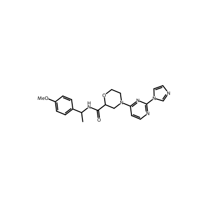 COc1ccc(C(C)NC(=O)C2CN(c3ccnc(-n4ccnc4)n3)CCO2)cc1